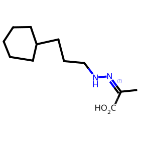 C/C(=N/NCCCC1CCCCC1)C(=O)O